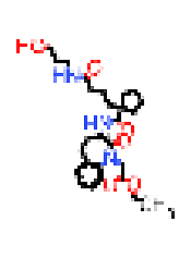 CCOC(=O)CN1C(=O)[C@@H](NC(=O)C2(CCCC(=O)NCCCO)CCCC2)CCc2ccccc21